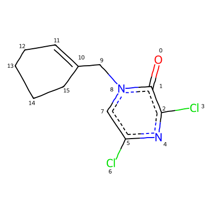 O=c1c(Cl)nc(Cl)cn1CC1=CCCCC1